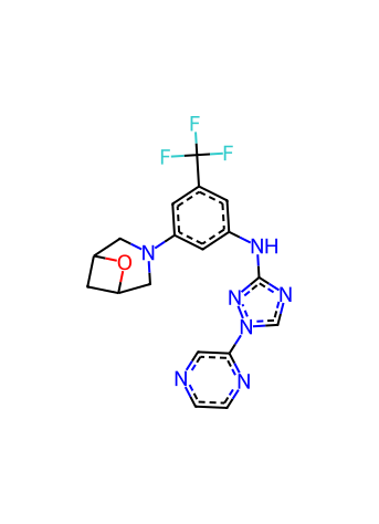 FC(F)(F)c1cc(Nc2ncn(-c3cnccn3)n2)cc(N2CC3CC(C2)O3)c1